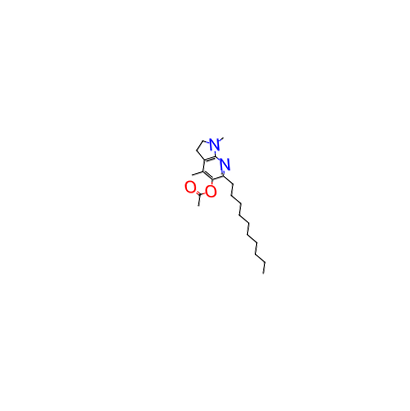 CCCCCCCCCCc1nc2c(c(C)c1OC(C)=O)CCN2C